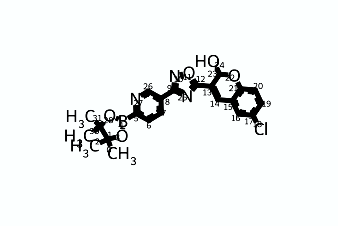 CC1(C)OB(c2ccc(-c3noc(C4=Cc5cc(Cl)ccc5OC4O)n3)cn2)OC1(C)C